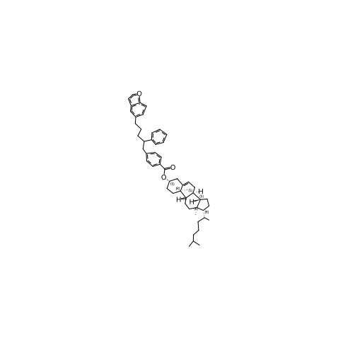 CC(C)CCCC(C)[C@H]1CC[C@H]2[C@@H]3CC=C4C[C@@H](OC(=O)c5ccc(CC(CCCc6ccc7occc7c6)c6ccccc6)cc5)CC[C@]4(C)[C@H]3CC[C@]12C